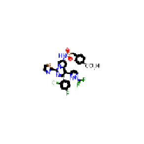 O=C(O)c1ccc(CS(=O)(=O)N[C@H]2CC3=C(c4ccn(C(F)F)n4)[C@H](c4ccc(F)cc4Cl)N=C(c4nccs4)N3C2)cc1